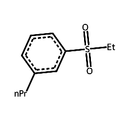 CCCc1cccc(S(=O)(=O)CC)c1